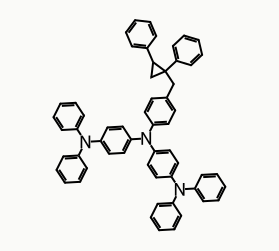 c1ccc(C2CC2(Cc2ccc(N(c3ccc(N(c4ccccc4)c4ccccc4)cc3)c3ccc(N(c4ccccc4)c4ccccc4)cc3)cc2)c2ccccc2)cc1